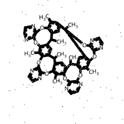 Cc1c2c3cc4c1Oc1nccnc1Oc1c(cc5c(c1C)Oc1nccnc1Oc1c(cc6c(c1C)Oc1nccnc1Oc1c(cc(c(c1C)Oc1nccnc1O2)C3C)C6C)C5C)C4C